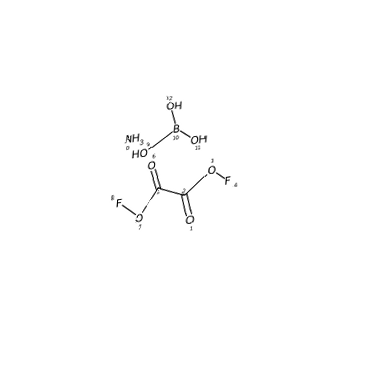 N.O=C(OF)C(=O)OF.OB(O)O